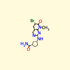 Cn1c(=O)c(Br)cc2cnc(N[C@H]3CC[C@@H](C(N)=O)C3)nc21